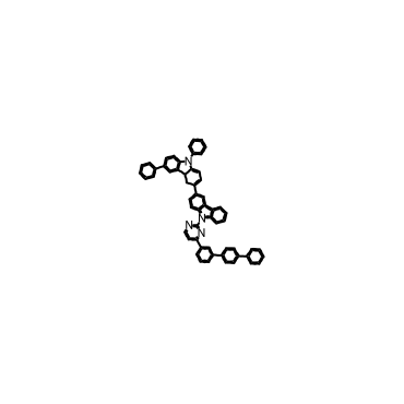 C1=C(c2ccc3c(c2)c2ccccc2n3-c2nccc(-c3cccc(-c4ccc(-c5ccccc5)cc4)c3)n2)CC2C(=C1)N(c1ccccc1)c1ccc(-c3ccccc3)cc12